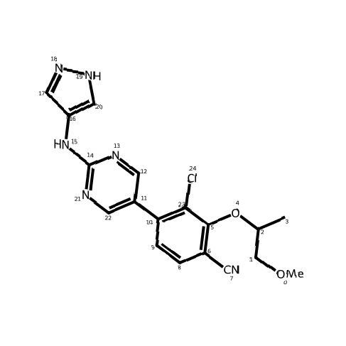 COCC(C)Oc1c(C#N)ccc(-c2cnc(Nc3cn[nH]c3)nc2)c1Cl